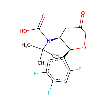 CC(C)(C)N(C(=O)O)[C@H]1CC(=O)CO[C@H]1c1cc(F)c(F)cc1F